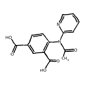 CC(=O)N(c1ccccn1)c1ccc(C(=O)O)cc1C(=O)O